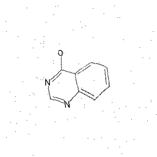 [O]c1ncnc2ccccc12